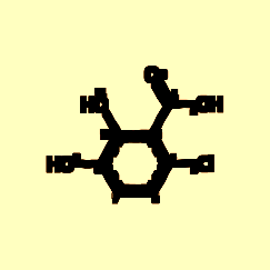 O=C(O)c1c(Cl)ccc(O)c1O